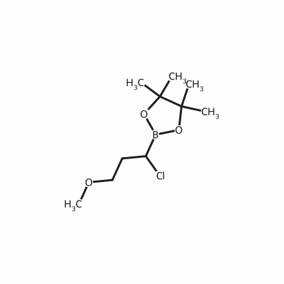 COCCC(Cl)B1OC(C)(C)C(C)(C)O1